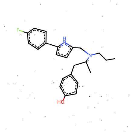 CCCN(Cc1ccc(-c2ccc(F)cc2)[nH]1)C(C)Cc1ccc(O)cc1